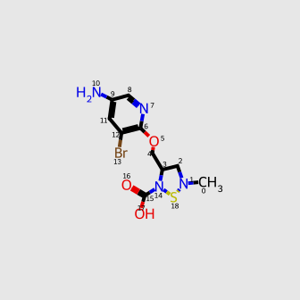 CN1CC(COc2ncc(N)cc2Br)N(C(=O)O)S1